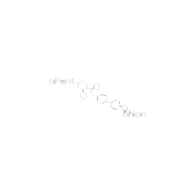 CCCCCCCCCOc1ccc(-c2ccc(CC(=O)C3CCC(CCCCC)CC3=O)cc2)cc1